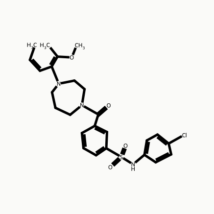 C/C=C\C(=C(/C)OC)N1CCCN(C(=O)c2cccc(S(=O)(=O)Nc3ccc(Cl)cc3)c2)CC1